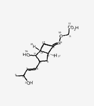 CC(O)C=CC1C[C@@H]2C(=NOCC(=O)O)C[C@H]2C1O